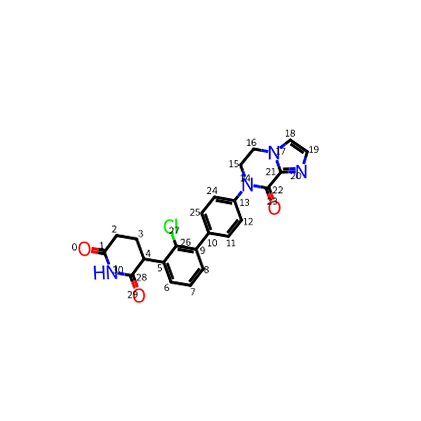 O=C1CCC(c2cccc(-c3ccc(N4CCn5ccnc5C4=O)cc3)c2Cl)C(=O)N1